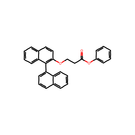 O=C(CCOc1ccc2ccccc2c1-c1cccc2ccccc12)Oc1ccccc1